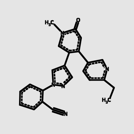 CCc1ccc(-c2cc(=O)n(C)cc2-c2cnn(-c3ccccc3C#N)c2)cn1